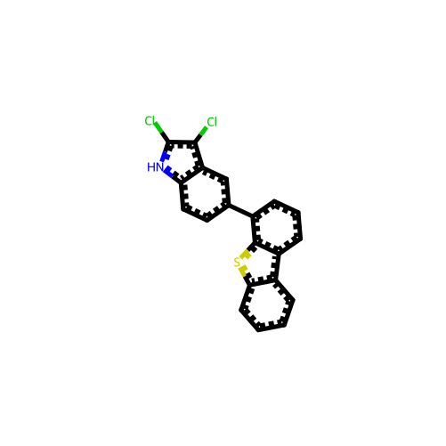 Clc1[nH]c2ccc(-c3cccc4c3sc3ccccc34)cc2c1Cl